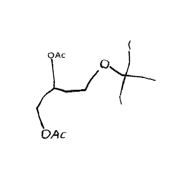 CC(=O)OCC(COC(C)(I)I)OC(C)=O